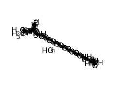 Cc1nc(C2CCC(N3C[C@H](C(=O)NCCOCCOCCOCCOCCOCCOCCOCCOCCOCCOCCOCCNC(=O)CCCC[C@H]4SC[C@@H]5NC(=O)N[C@H]54)OC[C@@H]3Cc3ccc(Cl)cc3)CC2)sc1C.Cl